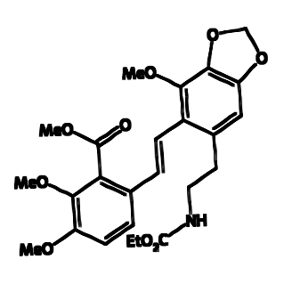 CCOC(=O)NCCc1cc2c(c(OC)c1/C=C/c1ccc(OC)c(OC)c1C(=O)OC)OCO2